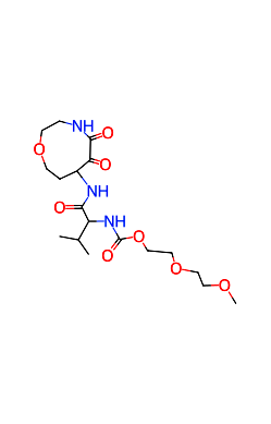 COCCOCCOC(=O)NC(C(=O)NC1CCOCCNC(=O)C1=O)C(C)C